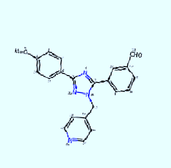 COc1ccc(-c2nc(-c3cccc(C=O)c3)n(Cc3ccncc3)n2)cc1